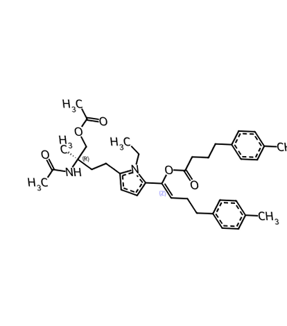 CCn1c(CC[C@](C)(COC(C)=O)NC(C)=O)ccc1/C(=C/CCc1ccc(C)cc1)OC(=O)CCCc1ccc(C)cc1